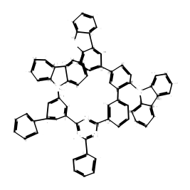 c1ccc(-c2cc(-c3nc(-c4ccccc4)nc(-c4cccc(-c5cc(-c6ccc7oc8ccccc8c7c6)ccc5-n5c6ccccc6c6ccccc65)c4)n3)cc(-n3c4ccccc4c4ccccc43)c2)cc1